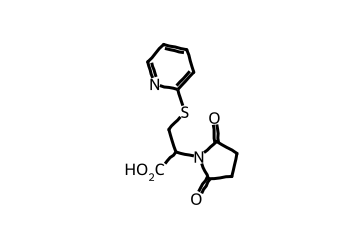 O=C(O)C(CSc1ccccn1)N1C(=O)CCC1=O